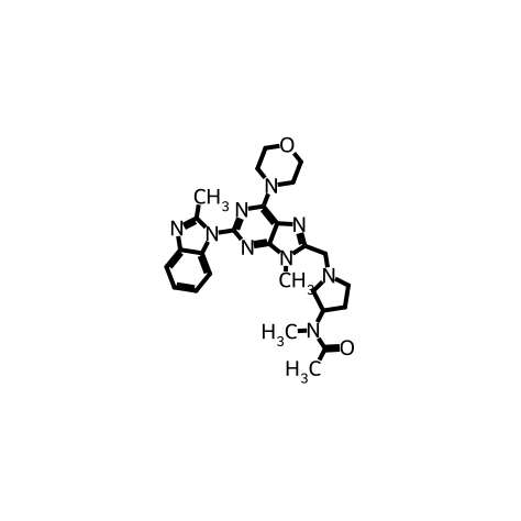 CC(=O)N(C)C1CCN(Cc2nc3c(N4CCOCC4)nc(-n4c(C)nc5ccccc54)nc3n2C)C1